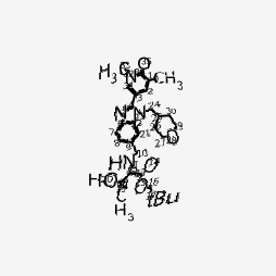 Cc1cc(-c2nc3ccc(CN[C@H](C(=O)OCC(C)(C)C)[C@@H](C)O)cc3n2CC2CCOCC2)cn(C)c1=O